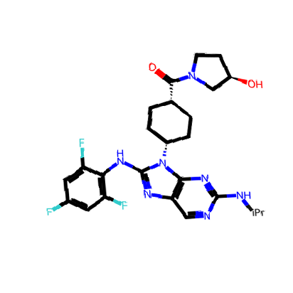 CC(C)Nc1ncc2nc(Nc3c(F)cc(F)cc3F)n([C@H]3CC[C@@H](C(=O)N4CC[C@@H](O)C4)CC3)c2n1